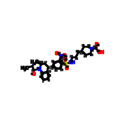 CCC(=O)N1c2ccccc2[C@@H](c2ccc(S(=O)(=O)NCCCC3CCN(C(=O)O)CC3)c([N+](=O)[O-])c2)C[C@@H]1C